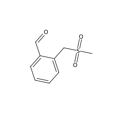 CS(=O)(=O)Cc1ccccc1C=O